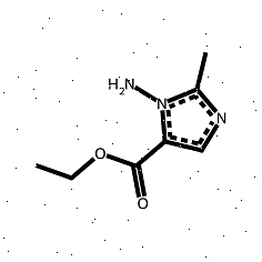 CCOC(=O)c1cnc(C)n1N